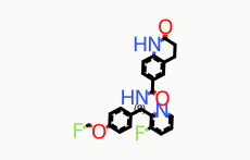 O=C1CCc2cc(C(=O)N[C@@H](c3ccc(OCF)cc3)c3ncccc3F)ccc2N1